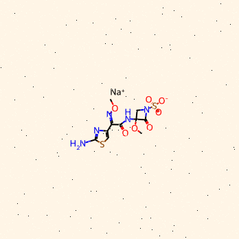 CON=C(C(=O)NC1(OC)CN(S(=O)(=O)[O-])C1=O)c1csc(N)n1.[Na+]